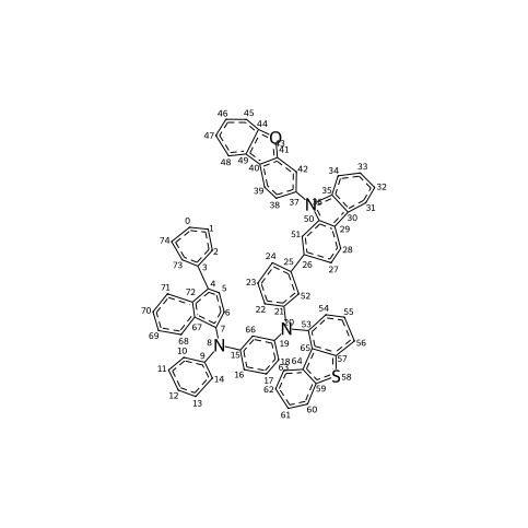 c1ccc(-c2ccc(N(c3ccccc3)c3cccc(N(c4cccc(-c5ccc6c7ccccc7n(-c7ccc8c(c7)oc7ccccc78)c6c5)c4)c4cccc5sc6ccccc6c45)c3)c3ccccc23)cc1